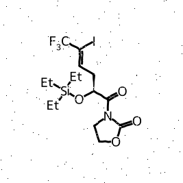 CC[Si](CC)(CC)O[C@@H](C/C=C(\I)C(F)(F)F)C(=O)N1CCOC1=O